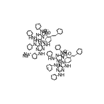 O=S(=O)([O-])C1=C(C=Cc2ccccc2)C=CC(Nc2nc(Nc3ccccc3)nc(Nc3ccccc3)n2)(Nc2nc(Nc3ccccc3)nc(Nc3ccccc3)n2)C1.O=S(=O)([O-])C1=C(C=Cc2ccccc2)C=CC(Nc2nc(Nc3ccccc3)nc(Nc3ccccc3)n2)(Nc2nc(Nc3ccccc3)nc(Nc3ccccc3)n2)C1.[Na+].[Na+]